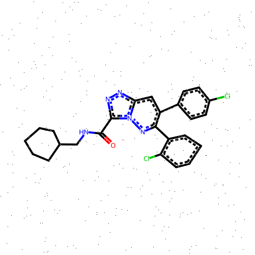 O=C(NCC1CCCCC1)c1nnc2cc(-c3ccc(Cl)cc3)c(-c3ccccc3Cl)nn12